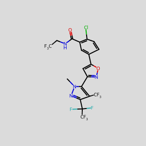 Cn1nc(C(F)(F)C(F)(F)F)c(C(F)(F)F)c1-c1cc(-c2ccc(Cl)c(C(=O)NCC(F)(F)F)c2)on1